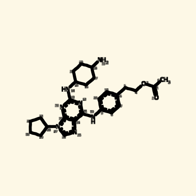 CC(=O)OCCc1ccc(Nc2nc(NC3CCC(N)CC3)nc3c2ncn3C2CCCC2)cc1